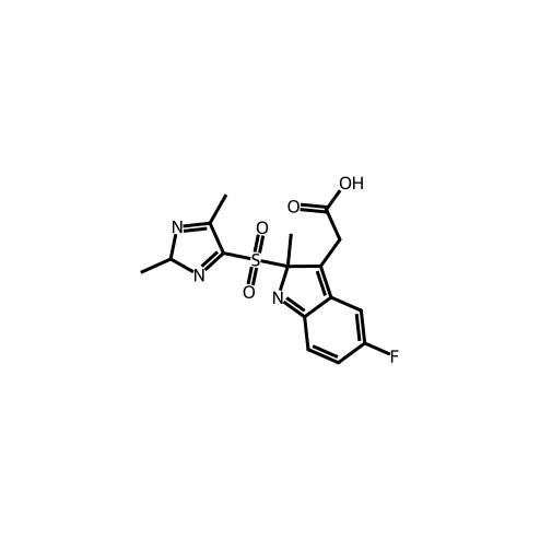 CC1=NC(C)N=C1S(=O)(=O)C1(C)N=c2ccc(F)cc2=C1CC(=O)O